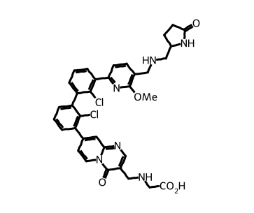 COc1nc(-c2cccc(-c3cccc(-c4ccn5c(=O)c(CNCC(=O)O)cnc5c4)c3Cl)c2Cl)ccc1CNCC1CCC(=O)N1